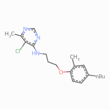 CCCCc1ccc(OCCCNc2ncnc(C)c2Cl)c(C)c1